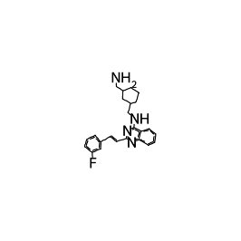 NCC1CCCC(CNc2nc(/C=C/c3cccc(F)c3)nc3ccccc23)C1